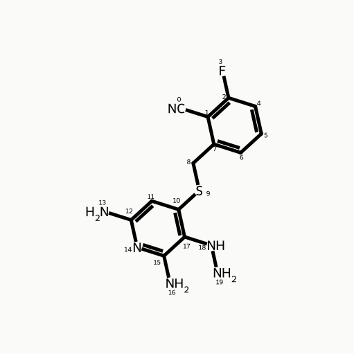 N#Cc1c(F)cccc1CSc1cc(N)nc(N)c1NN